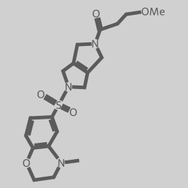 COCCC(=O)N1CC2=C(C1)CN(S(=O)(=O)c1ccc3c(c1)N(C)CCO3)C2